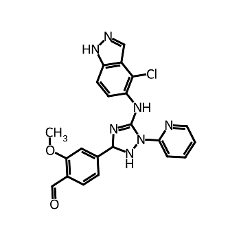 COc1cc(C2N=C(Nc3ccc4[nH]ncc4c3Cl)N(c3ccccn3)N2)ccc1C=O